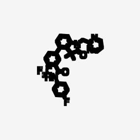 CC1(C)C(=O)N(Cc2ncccn2)c2cccc(-c3ccc(C(F)(F)F)c(C(=O)Nc4ccc(F)cc4)c3)c21